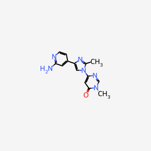 Cc1nc(-c2ccnc(N)c2)cn1-c1cc(=O)n(C)cn1